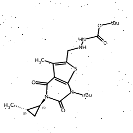 CCCCn1c(=O)n([C@H]2C[C@@H]2C)c(=O)c2c(C)c(CNNC(=O)OC(C)(C)C)sc21